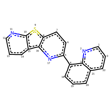 c1cnc2c(-c3ccc4sc5ncccc5c4n3)cccc2c1